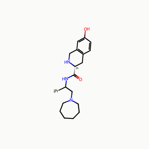 CC(C)C(CN1CCCCCC1)NC(=O)[C@H]1Cc2ccc(O)cc2CN1